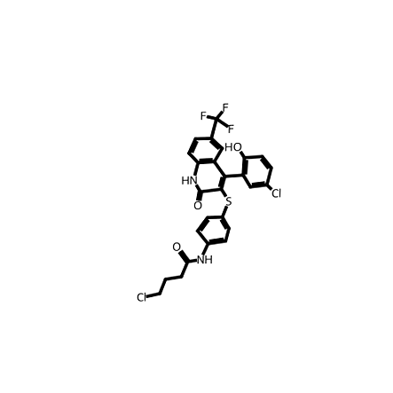 O=C(CCCCl)Nc1ccc(Sc2c(-c3cc(Cl)ccc3O)c3cc(C(F)(F)F)ccc3[nH]c2=O)cc1